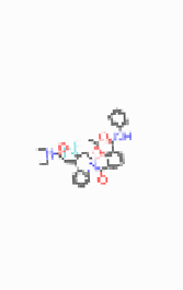 CCOc1c(C(=O)Nc2ccccc2)cccc1C(=O)N1CCC(F)(F)C(=CC(=O)N(CC)CC)c2ccccc21